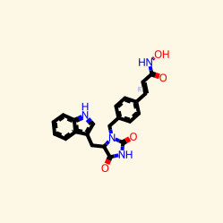 O=C(/C=C/c1ccc(CN2C(=O)NC(=O)C2Cc2c[nH]c3ccccc23)cc1)NO